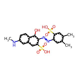 CNc1ccc2c(O)c(N=Nc3cc(C)c(C)cc3S(=O)(=O)O)c(S(=O)(=O)O)cc2c1